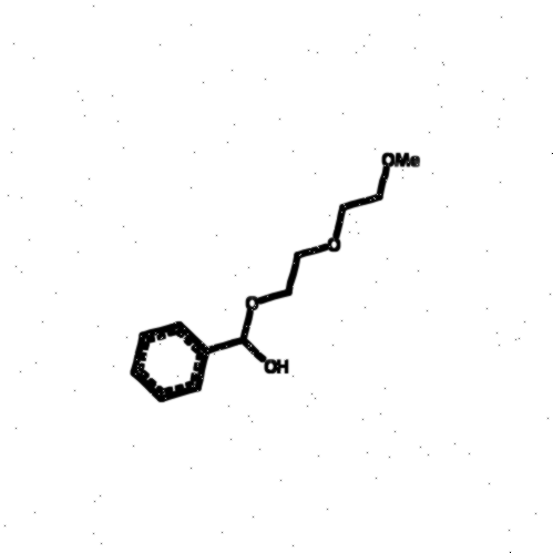 COCCOCCOC(O)c1ccccc1